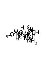 Cc1nn(C)cc1Nc1nc(N2CCC[C@@H](NC(=O)c3ccc(C4CC4)cc3)[C@H]2C)cnc1C(N)=O